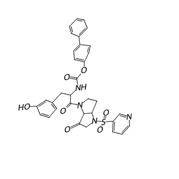 O=C(NC(Cc1cccc(O)c1)C(=O)N1CCC2C1C(=O)CN2S(=O)(=O)c1cccnc1)Oc1ccc(-c2ccccc2)cc1